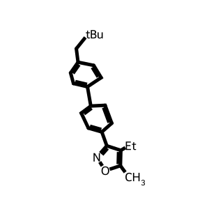 CCc1c(-c2ccc(-c3ccc(CC(C)(C)C)cc3)cc2)noc1C